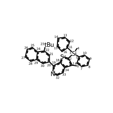 Cc1c([Si](C)(c2ccccc2)c2ccccc2)sc2c(-c3cc(C(C)(C)C)c4ccccc4c3)nccc12